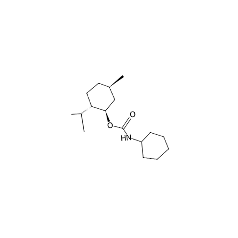 CC(C)[C@@H]1CC[C@@H](C)C[C@H]1OC(=O)NC1CCCCC1